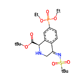 CCOP(=O)(OCC)c1ccc2c(c1)[C@H](C(=O)OC(C)(C)C)NCC2=NS(=O)(=O)C(C)(C)C